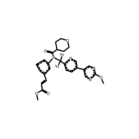 [2H]C([2H])(c1ccc(-c2cnc(OC)nc2)cn1)N(C(=O)C1CCOCC1)c1cccc(C=CC(=O)OC)c1